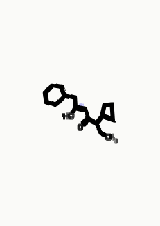 CCC(C(=O)/C=C(\O)CC1CCCCC1)C1CCC1